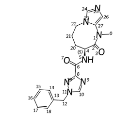 CN1C(=O)[C@@H](NC(=O)c2ncn(Cc3ccccc3)n2)CCCn2cncc21